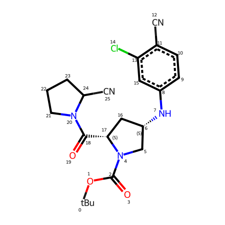 CC(C)(C)OC(=O)N1C[C@@H](Nc2ccc(C#N)c(Cl)c2)C[C@H]1C(=O)N1CCCC1C#N